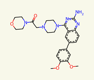 COc1ccc(-c2ccc3nc(N)nc(N4CCN(CC(=O)N5CCOCC5)CC4)c3c2)cc1OC